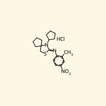 Cc1cc([N+](=O)[O-])ccc1N=C1SCC2(CCCC2)N1C1CCCC1.Cl